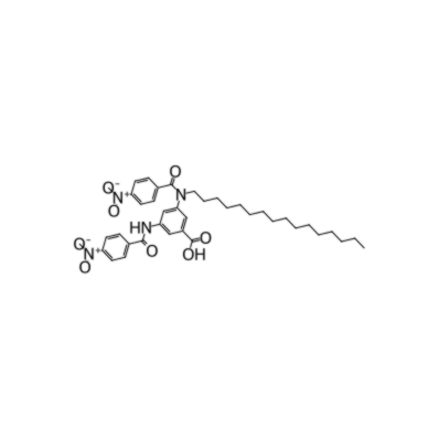 CCCCCCCCCCCCCCCCN(C(=O)c1ccc([N+](=O)[O-])cc1)c1cc(NC(=O)c2ccc([N+](=O)[O-])cc2)cc(C(=O)O)c1